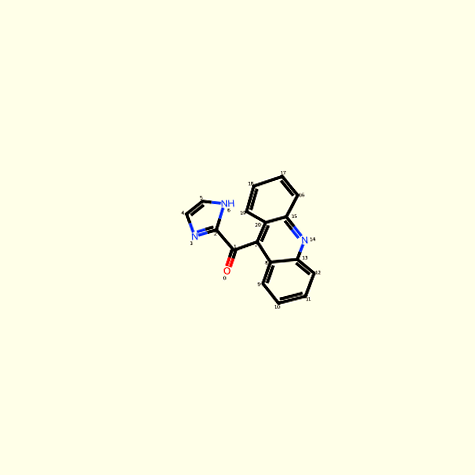 O=C(c1ncc[nH]1)c1c2ccccc2nc2ccccc12